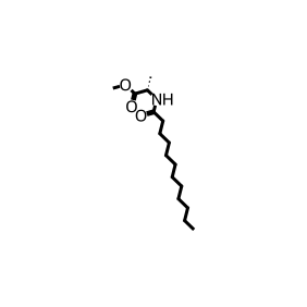 CCCCCCCCCCCC(=O)N[C@@H](C)C(=O)OC